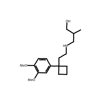 COc1ccc(C2(CCNCC(C)CO)CCC2)cc1OC